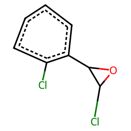 Clc1ccccc1C1OC1Cl